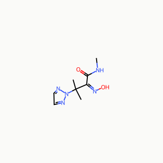 CNC(=O)C(=NO)C(C)(C)n1nccn1